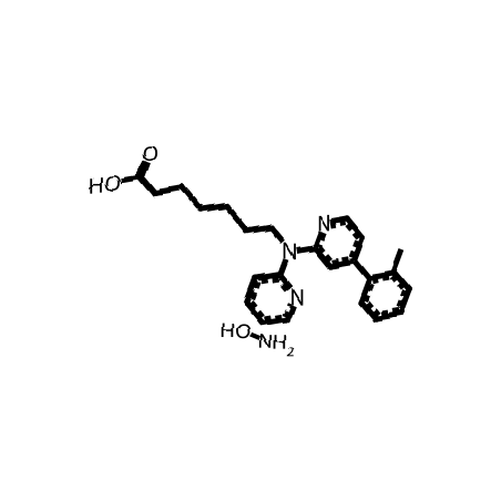 Cc1ccccc1-c1ccnc(N(CCCCCCC(=O)O)c2ccccn2)c1.NO